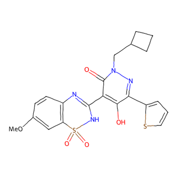 COc1ccc2c(c1)S(=O)(=O)NC(c1c(O)c(-c3cccs3)nn(CC3CCC3)c1=O)=N2